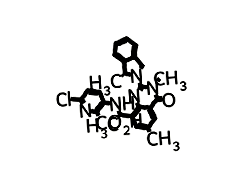 Cc1cc([C@@H](C)Nc2ccc(Cl)nc2C(=O)O)c2nc(N3Cc4ccccc4[C@@H]3C)n(C)c(=O)c2c1